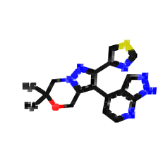 CC1(C)Cn2nc(-c3cscn3)c(-c3ccnc4[nH]ncc34)c2CO1